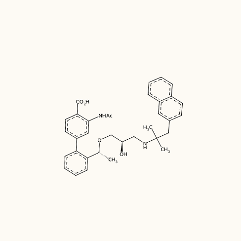 CC(=O)Nc1cc(-c2ccccc2[C@@H](C)OC[C@H](O)CNC(C)(C)Cc2ccc3ccccc3c2)ccc1C(=O)O